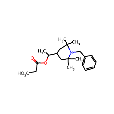 CC(OC(=O)CC(=O)O)C1CC(C)(C)N(Cc2ccccc2)C(C)(C)C1